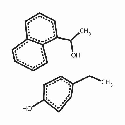 CC(O)c1cccc2ccccc12.CCc1ccc(O)cc1